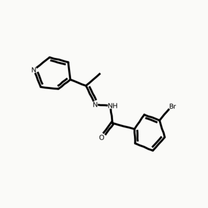 C/C(=N\NC(=O)c1cccc(Br)c1)c1ccncc1